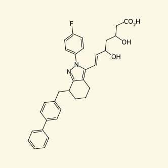 O=C(O)CC(O)CC(O)/C=C/c1c2c(nn1-c1ccc(F)cc1)C(Cc1ccc(-c3ccccc3)cc1)CCC2